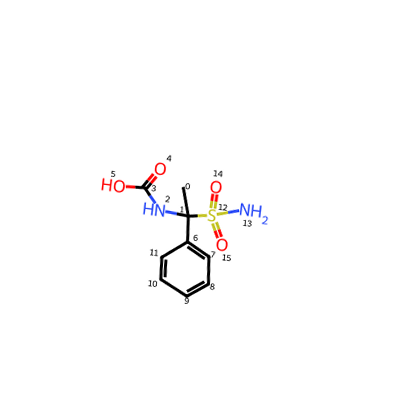 CC(NC(=O)O)(c1ccccc1)S(N)(=O)=O